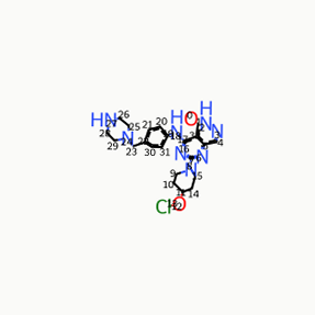 O=c1[nH]ncc2nc(N3CCC(OCl)CC3)nc(Nc3ccc(CN4CCNCC4)cc3)c12